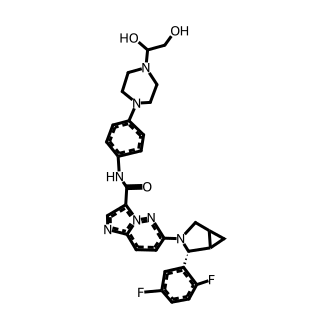 O=C(Nc1ccc(N2CCN(C(O)CO)CC2)cc1)c1cnc2ccc(N3CC4CC4[C@@H]3c3cc(F)ccc3F)nn12